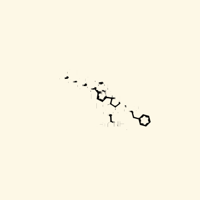 C=C(C)OCOC(=O)Nc1ncnn2c([C@]3(C)O[C@H](COC(=O)Cc4ccccc4)[C@@H](OC(=O)[C@@H](N)C(C)(C)C)[C@H]3O)ccc12